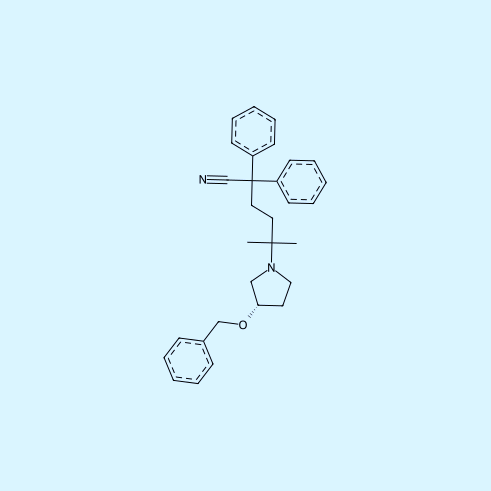 CC(C)(CCC(C#N)(c1ccccc1)c1ccccc1)N1CC[C@H](OCc2ccccc2)C1